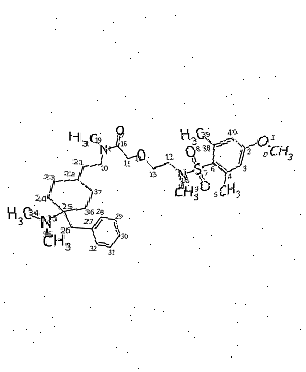 COc1cc(C)c(S(=O)(=O)N(C)CCOCC(=O)N(C)CCC2CCC(Cc3ccccc3)(N(C)C)CC2)c(C)c1